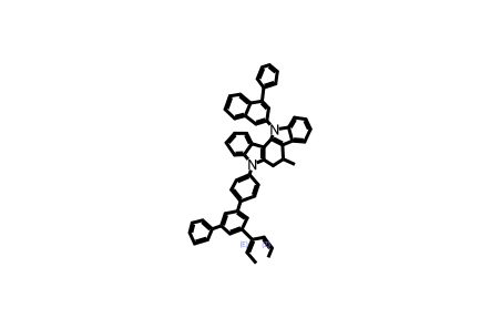 C/C=C\C(=C/C)c1cc(-c2ccccc2)cc(-c2ccc(-n3c4c(c5ccccc53)-c3c(c5ccccc5n3-c3cc(-c5ccccc5)c5ccccc5c3)C(C)C4)cc2)c1